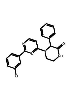 O=C1NCCN(c2ccnc(-c3cccc(Cl)c3)n2)C1c1ccccc1